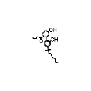 CCCCCCC(C)(C)c1ccc(C2CC(O)CCN2C(=O)CCC)c(O)c1